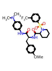 COc1ccc(C[C@H](NC(=O)C2CCCCN2S(=O)(=O)c2cccc(C(F)(F)F)c2)C(=O)Nc2ccc(N(C)C)cc2)cc1